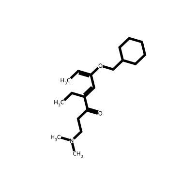 C/C=C(\C=C(/CC)C(=O)CCN(C)C)OCC1CCCCC1